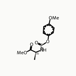 COC(=O)[C@H](C)N[PH](=O)Oc1ccc(OC)cc1